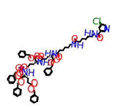 O=C(CCCCCNC(=O)c1cncc(Cl)c1)NCCCCCC(=O)N[C@@H](CCC(=O)N[C@@H](CCCOP(=O)(N[C@@H](CCC(=O)OCc1ccccc1)C(=O)OCc1ccccc1)OCc1ccccc1)C(=O)OCc1ccccc1)C(=O)OCc1ccccc1